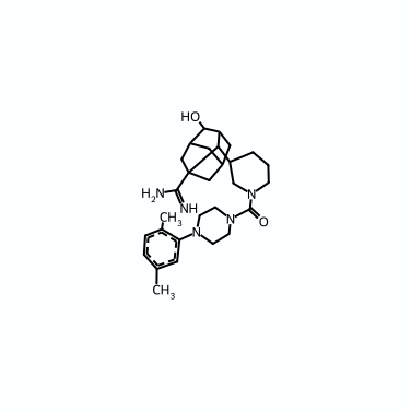 Cc1ccc(C)c(N2CCN(C(=O)N3CCCC(C4C5CC6CC(CC4(C(=N)N)C6)C5O)C3)CC2)c1